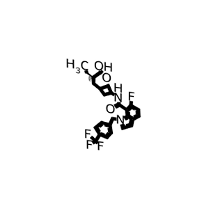 CC[C@H](CC1CC(NC(=O)c2c(F)ccc3ccn(Cc4ccc(C(F)(F)F)cc4)c23)C1)C(=O)O